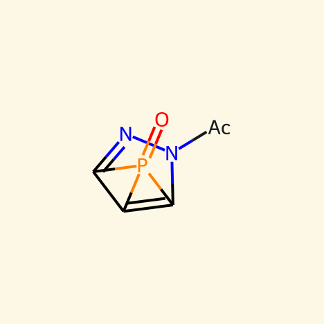 CC(=O)n1nc2c3c1P23=O